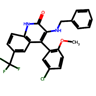 COc1ccc(Cl)cc1-c1c(NCc2ccccc2)c(=O)[nH]c2ccc(C(F)(F)F)cc12